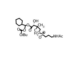 CC(=O)NCCCS(=O)(=O)OCC(C)(C)[C@@H](O)C(=O)OC(OC(=O)OCC(C)C)C1CCCCC1